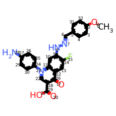 COc1ccc(/C=N/Nc2cc3c(cc2F)c(=O)c(C(=O)O)cn3-c2ccc(N)cc2)cc1